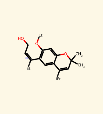 CCOc1cc2c(cc1/C(=C\CO)CC)C(C(C)C)=CC(C)(C)O2